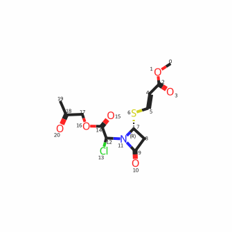 COC(=O)C=CS[C@@H]1CC(=O)N1C(Cl)C(=O)OCC(C)=O